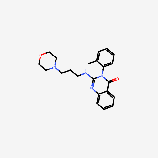 Cc1ccccc1-n1c(NCCCN2CCOCC2)nc2ccccc2c1=O